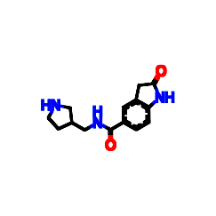 O=C1Cc2cc(C(=O)NCC3CCNC3)ccc2N1